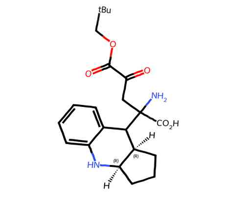 CC(C)(C)COC(=O)C(=O)CC(N)(C(=O)O)C1c2ccccc2N[C@@H]2CCC[C@H]12